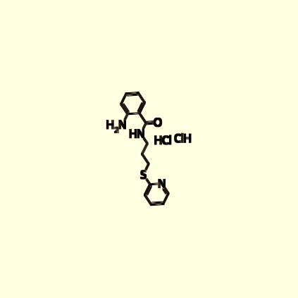 Cl.Cl.Nc1ccccc1C(=O)NCCCSc1ccccn1